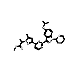 COC(=O)C(C)n1nc(-c2ccnc(-c3nn(C4CCCCO4)c4ccc(OC(C)C)cc34)n2)cc1C